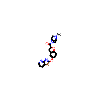 CC(=O)N1CC2CC1CN2C(=O)C1Cc2cc(Oc3nc4ncccc4s3)ccc2O1